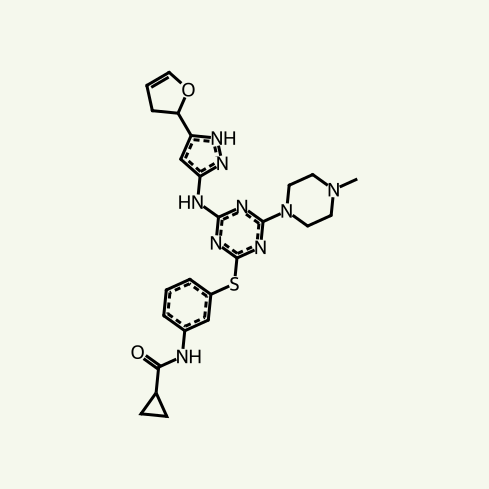 CN1CCN(c2nc(Nc3cc(C4CC=CO4)[nH]n3)nc(Sc3cccc(NC(=O)C4CC4)c3)n2)CC1